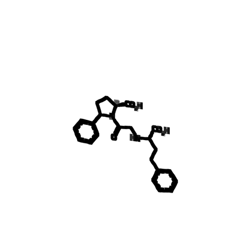 O=C(O)C(CCc1ccccc1)NCC(=O)N1C(c2ccccc2)CC[C@H]1C(=O)O